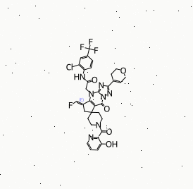 O=C(Cn1c2c(c(=O)n3nc(C4=CCOCC4)nc13)C1(CCN(C(=O)c3ncccc3O)CC1)C/C2=C\F)Nc1ccc(C(F)(F)F)cc1Cl